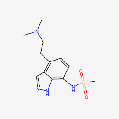 CN(C)CCc1ccc(NS(C)(=O)=O)c2[nH]ncc12